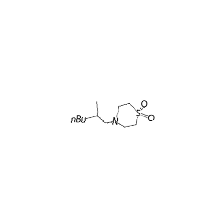 CCCCC(C)CN1CCS(=O)(=O)CC1